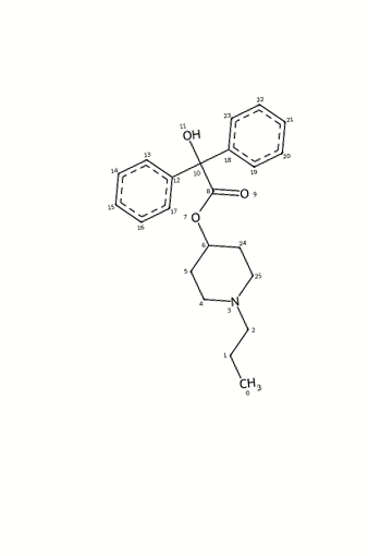 CCCN1CCC(OC(=O)C(O)(c2ccccc2)c2ccccc2)CC1